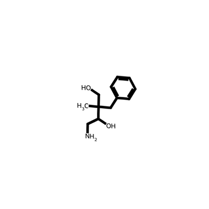 CC(CO)(Cc1ccccc1)C(O)CN